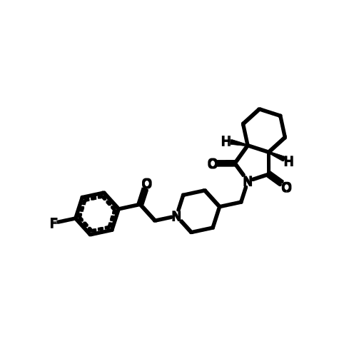 O=C(CN1CCC(CN2C(=O)[C@H]3CCCC[C@H]3C2=O)CC1)c1ccc(F)cc1